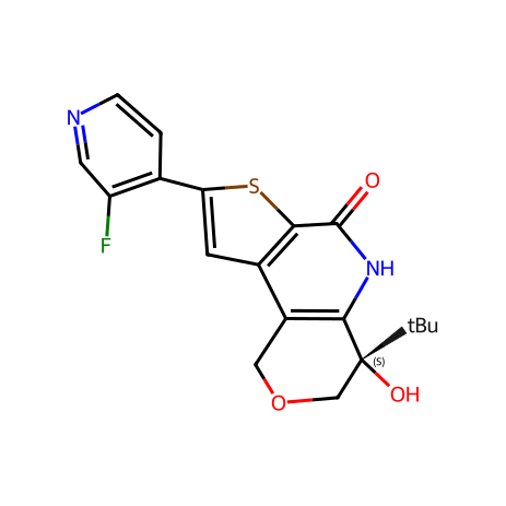 CC(C)(C)[C@@]1(O)COCc2c1[nH]c(=O)c1sc(-c3ccncc3F)cc21